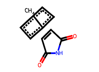 C.O=C1C=CC(=O)N1.c1cc2ccc1-2